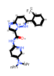 CCCN(CCC)C1=CC=C(NC(=O)c2cnc3n2NC(c2ccccc2C(F)(F)F)C=C3)NC1